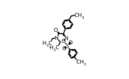 CCc1ccc(C(=NOS(=O)(=O)c2ccc(C)cc2)C(=O)N(CC)CC)cc1